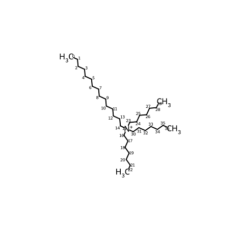 CCCCCCCCCCCCCCC[N+](CCCCCCC)(CCCCCCC)CCCCCCC